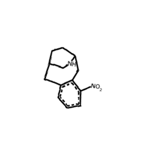 O=[N+]([O-])c1cccc2c1CC1CCC(CN1)C2